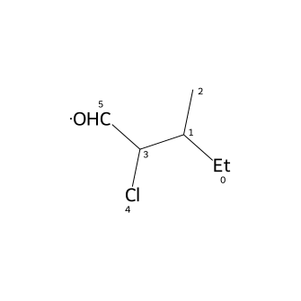 CCC(C)C(Cl)[C]=O